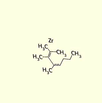 CCCC=C(C)C(C)=C(C)C.[Zr]